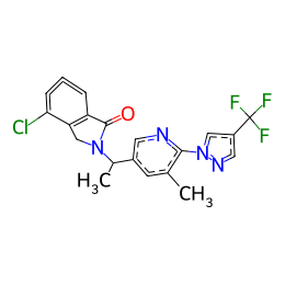 Cc1cc(C(C)N2CC3=C(C=C=C=C3Cl)C2=O)cnc1-n1cc(C(F)(F)F)cn1